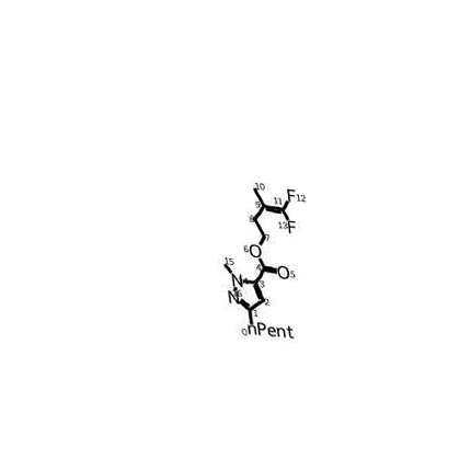 CCCCCc1cc(C(=O)OCCC(C)=C(F)F)n(C)n1